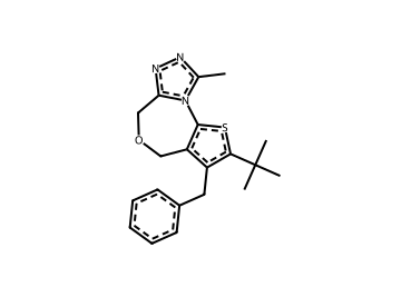 Cc1nnc2n1-c1sc(C(C)(C)C)c(Cc3ccccc3)c1COC2